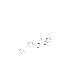 COC(=O)c1ccc2nc(Cc3ccc(-c4cccc(OCc5ccc(Cl)cc5F)n4)cc3)n(CC3CCO3)c2c1